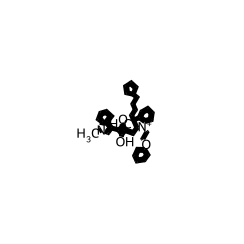 Cn1cc(C2=C(O)/C(=C/C3=[N+](CCOc4ccccc4)c4ccccc4C3(C)CCCCC3C=CC=C3)C2=O)c2ccccc21